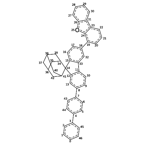 c1ccc(-c2ccc(-c3ccc4c(c3)C3(c5ccc(-c6cccc7c6oc6ccccc67)cc5-4)C4CC5CC(C4)CC3C5)cc2)cc1